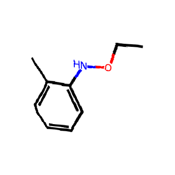 CCONc1ccccc1C